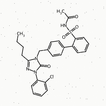 CCCCc1nn(-c2ccccc2Cl)c(=O)n1Cc1ccc(-c2ccccc2S(=O)(=O)NC(C)=O)cc1